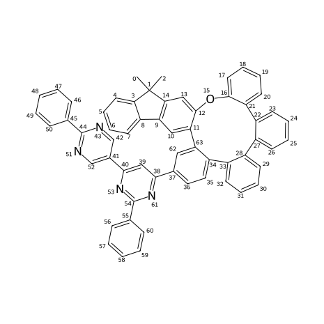 CC1(C)c2ccccc2-c2cc3c(cc21)Oc1ccccc1-c1ccccc1-c1ccccc1-c1ccc(-c2cc(-c4cnc(-c5ccccc5)nc4)nc(-c4ccccc4)n2)cc1-3